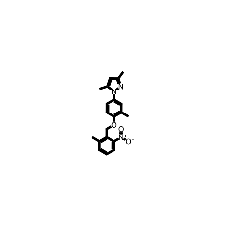 Cc1cc(C)n(-c2ccc(OCc3c(C)cccc3[N+](=O)[O-])c(C)c2)n1